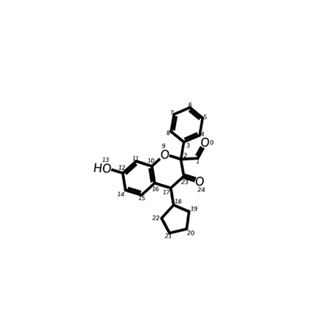 O=CC1(c2ccccc2)Oc2cc(O)ccc2C(C2CCCC2)C1=O